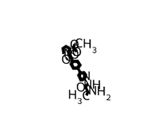 COC(=O)[C@H]1CCCN1S(=O)(=O)c1ccc(-c2ccc(NC(=O)C(C)N)nc2)cc1